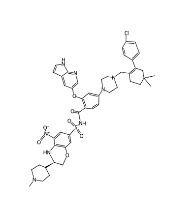 CN1CCC([C@@H]2COc3cc(S(=O)(=O)NC(=O)c4ccc(N5CCN(CC6=C(c7ccc(Cl)cc7)CC(C)(C)CC6)CC5)cc4Oc4cnc5[nH]ccc5c4)cc([N+](=O)[O-])c3N2)CC1